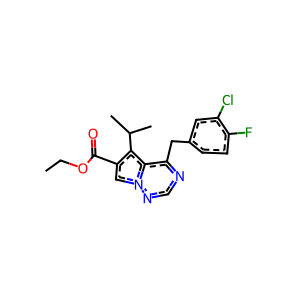 CCOC(=O)c1cn2ncnc(Cc3ccc(F)c(Cl)c3)c2c1C(C)C